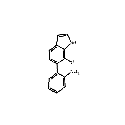 O=[N+]([O-])c1ccccc1-c1ccc2cc[nH]c2c1Cl